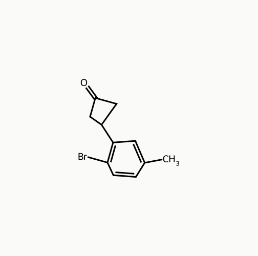 Cc1ccc(Br)c(C2CC(=O)C2)c1